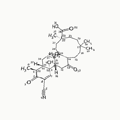 C[C@@H]1C(=O)C(C#N)=C[C@]2(C)[C@H]3CC(=O)C4CCC(C)(C)CC[C@](C)(C(=O)O)CC[C@@]4(C)[C@]3(C)CC[C@@H]12